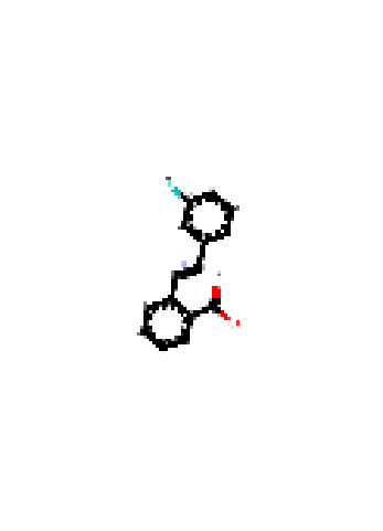 O=C(O)c1ccccc1/C=C/c1cccc(F)c1